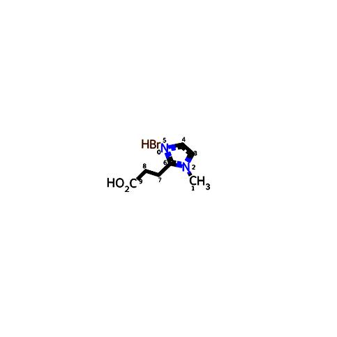 Br.Cn1ccnc1CCC(=O)O